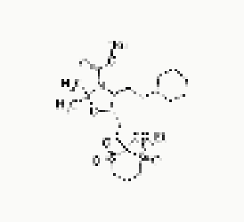 CCOC(=O)C1(CC[C@@H]2OC(C)(C)N(C(=O)OC(C)(C)C)[C@H]2CCC2CCCCC2)S(=O)(=O)CCCS1(=O)=O